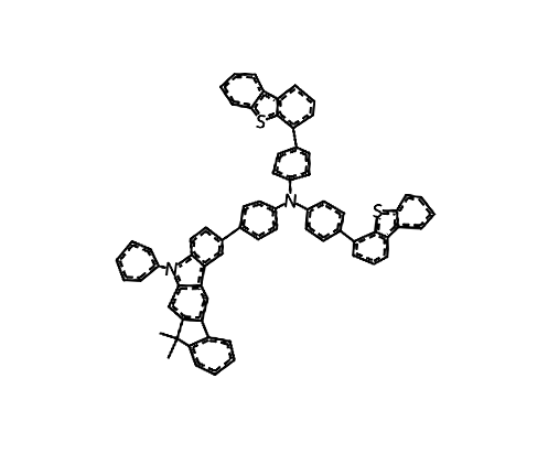 CC1(C)c2ccccc2-c2cc3c4cc(-c5ccc(N(c6ccc(-c7cccc8c7sc7ccccc78)cc6)c6ccc(-c7cccc8c7sc7ccccc78)cc6)cc5)ccc4n(-c4ccccc4)c3cc21